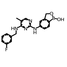 Cc1cnc(Nc2ccc3c(c2)COB3O)nc1NCc1cccc(F)c1